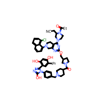 CCC(=O)N1CCN(c2nc(OCC3CCN(C(=O)C4CCN(Cc5ccc(-n6c(O)nnc6-c6cc(C(C)C)c(O)cc6O)cc5)CC4)C3)nc3c2CCN(c2cccc4cccc(Cl)c24)C3)CC1CC#N